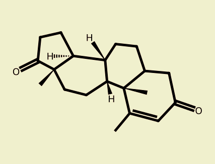 CC1=CC(=O)CC2CC[C@@H]3[C@@H](CC[C@]4(C)C(=O)CC[C@@H]34)[C@@]12C